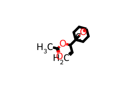 C=CC(OC(C)=O)C12CCC(CC1)OC2